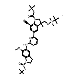 COc1cc2c(cc1Nc1nccc(-c3cc(C#N)c4c(c3)C(C)(CO[Si](C)(C)C(C)(C)C)CN4C(=O)OC(C)(C)C)n1)CCN2C(=O)OC(C)(C)C